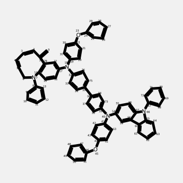 C=C1/C=C\C=C/CN(c2ccccc2)c2ccc(N(c3ccc(Oc4ccccc4)cc3)c3ccc(-c4ccc(N(c5ccc(Oc6ccccc6)cc5)c5ccc6c(c5)c5ccccc5n6-c5ccccc5)cc4)cc3)cc21